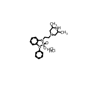 CC1CN(CCN2c3ccccc3N(c3ccccc3)S2(=O)=O)CC(C)N1.Cl.Cl